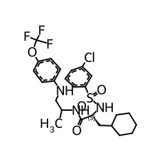 CC(CNc1ccc(OC(F)(F)F)cc1)NC(=O)[C@H](CC1CCCCC1)NS(=O)(=O)c1cccc(Cl)c1